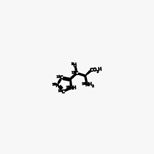 [2H][13CH](c1[13cH][15n][13cH][15nH]1)[C@H]([15NH2])C(=O)O